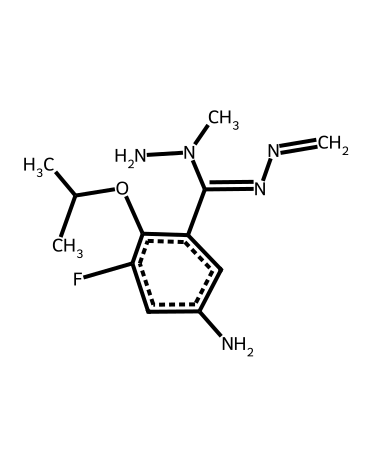 C=N/N=C(/c1cc(N)cc(F)c1OC(C)C)N(C)N